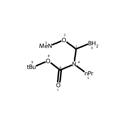 BC(ONC)N(CCC)C(=O)OC(C)(C)C